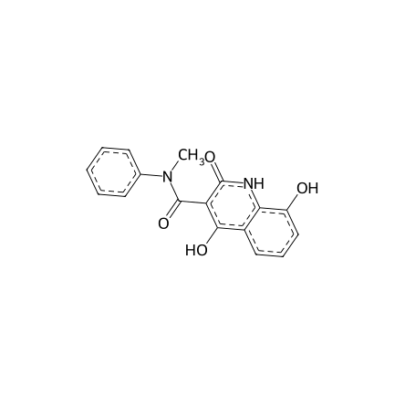 CN(C(=O)c1c(O)c2cccc(O)c2[nH]c1=O)c1ccccc1